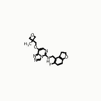 CC1(COc2cnc(NCc3c(F)ccc4c3CCO4)n3cnnc23)COC1